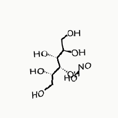 O=NO.OC[C@@H](O)[C@@H](O)[C@H](O)[C@@H](O)CO